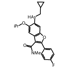 CNC(=O)c1c(-c2ccc(F)cc2)oc2cc([AsH]CC3CC3)c(OC(C)C)cc12